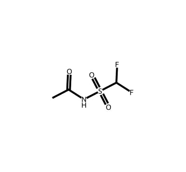 CC(=O)NS(=O)(=O)C(F)F